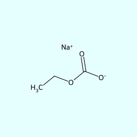 CCOC(=O)[O-].[Na+]